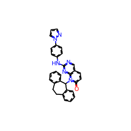 O=c1ccc2cnc(Nc3ccc(-n4cccn4)cc3)nc2n1C1c2ccccc2CCc2ccccc21